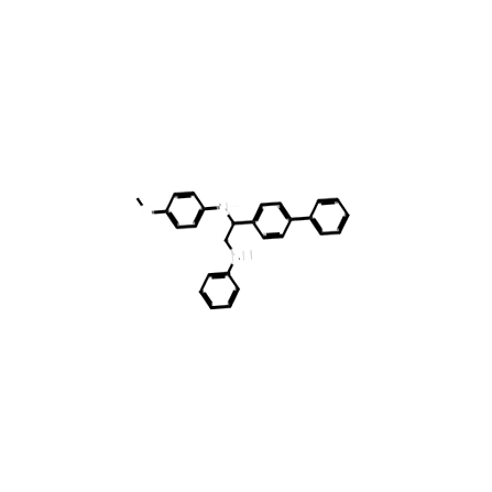 COc1ccc(NC(CNc2ccccc2)c2ccc(-c3ccccc3)cc2)cc1